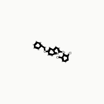 Clc1cccc(Cl)c1Oc1ccc2cc(OCc3ccccc3)ccc2n1